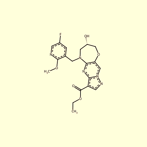 CCOC(=O)c1cnn2cc3c(nc12)N(Cc1cc(F)cnc1OC)C[C@H](O)CO3